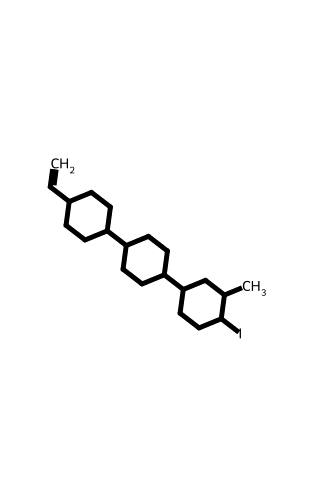 C=CC1CCC(C2CCC(C3CCC(I)C(C)C3)CC2)CC1